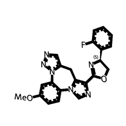 COc1ccc2c(c1)-n1nncc1Cc1c(C3=N[C@@H](c4ccccc4F)CO3)ncn1-2